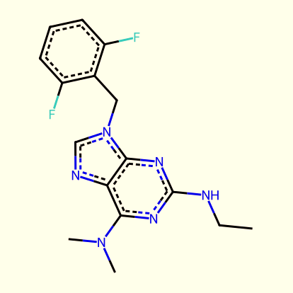 CCNc1nc(N(C)C)c2ncn(Cc3c(F)cccc3F)c2n1